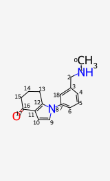 CNCc1cccc(-n2ccc3c2CCCC3=O)c1